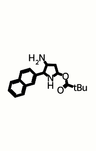 CC(C)(C)C(=O)OC1CC(N)C(c2ccc3ccccc3c2)N1